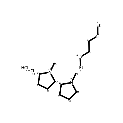 CCOCCOCC.CN1CCCC1.CN1CCCC1.Cl.Cl